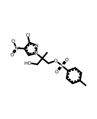 Cc1ccc(S(=O)(=O)OCC(C)(CO)n2cc([N+](=O)[O-])c(Cl)n2)cc1